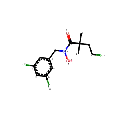 CC(C)(CCF)C(=O)N(O)Cc1cc(F)cc(F)c1